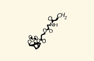 C=CC(=O)NCC(=O)OCCC(=O)OC1C2CC3C1OS(=O)(=O)C3C2